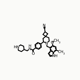 COc1cc(C)c2[nH]ccc2c1CN1CCC2(CC(C#N)C2)CC1c1ccc(C(=O)NCC2CCNCC2)cc1